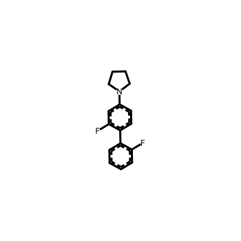 Fc1ccccc1-c1ccc(N2CCCC2)cc1F